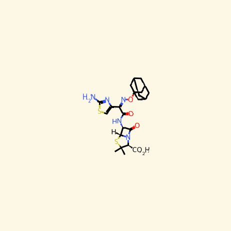 CC1(C)S[C@@H]2[C@@H](NC(=O)/C(=N\OC34CC5CC(CC(C5)C3)C4)c3csc(N)n3)C(=O)N2[C@H]1C(=O)O